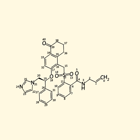 C=CCNC(=O)c1ccccc1S(=O)(=O)Cc1c(O[C@H](Cn2ccnc2)c2ccccc2)ccc2c1CCCC2=O